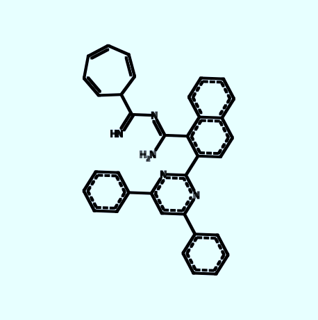 N=C(/N=C(\N)c1c(-c2nc(-c3ccccc3)cc(-c3ccccc3)n2)ccc2ccccc12)C1C=CC=CC=C1